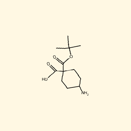 CC(C)(C)OC(=O)C1(C(=O)O)CCC(N)CC1